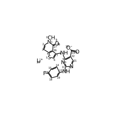 Cn1ccc2scc(Nc3nc(Nc4ccc(F)cc4)ncc3C(=O)[O-])c2c1=O.[Li+]